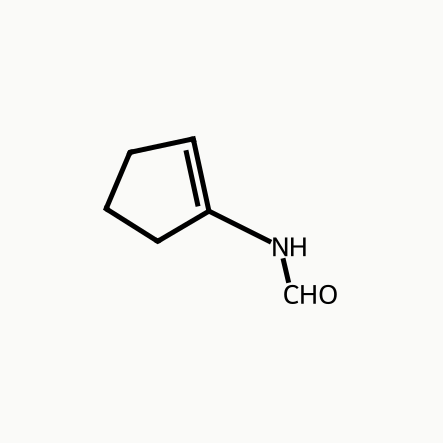 O=CNC1=CCCC1